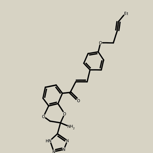 CCC#CCOc1ccc(C=CC(=O)c2cccc3c2OC(N)(c2nnn[nH]2)CO3)cc1